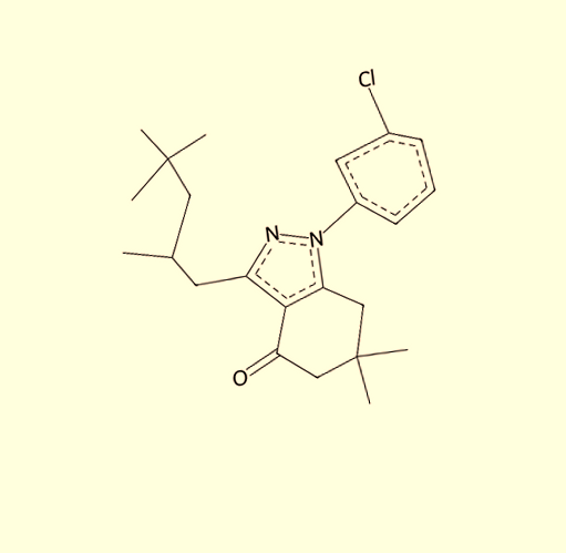 CC(Cc1nn(-c2cccc(Cl)c2)c2c1C(=O)CC(C)(C)C2)CC(C)(C)C